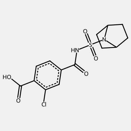 O=C(NS(=O)(=O)N1C2CCC1CC2)c1ccc(C(=O)O)c(Cl)c1